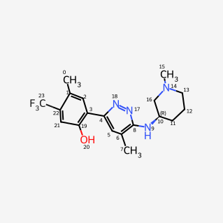 Cc1cc(-c2cc(C)c(N[C@@H]3CCCN(C)C3)nn2)c(O)cc1C(F)(F)F